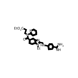 CCOC(=O)CCN(C(=O)c1ccc2c(c1)nc(CNc1ccc(C(=N)N)cc1)n2CC)c1ccccn1